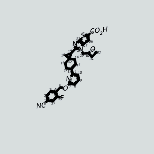 N#Cc1ccc(COc2cccc(C3=CCC4(CC3)CC4c3nc4sc(C(=O)O)cc4n3CC3CCO3)n2)c(F)c1